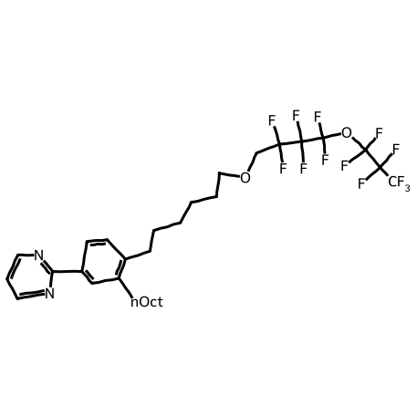 CCCCCCCCc1cc(-c2ncccn2)ccc1CCCCCCOCC(F)(F)C(F)(F)C(F)(F)OC(F)(F)C(F)(F)C(F)(F)F